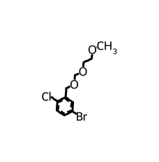 COCCOCOCc1cc(Br)ccc1Cl